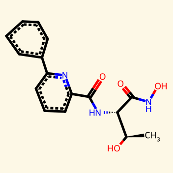 C[C@@H](O)[C@H](NC(=O)c1cccc(-c2ccccc2)n1)C(=O)NO